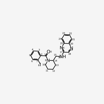 O=C(c1ccccc1I)N1CCCCC1CNc1cnc2ccccc2n1